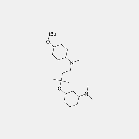 CN(C)C1CCCC(OC(C)(C)CCN(C)C2CCC(OC(C)(C)C)CC2)C1